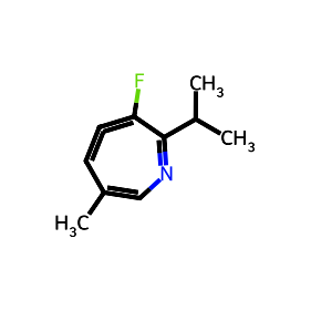 CC1=CN=C(C(C)C)C(F)=C=C1